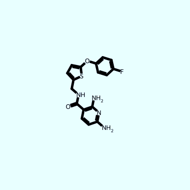 Nc1ccc(C(=O)NCc2ccc(Oc3ccc(F)cc3)s2)c(N)n1